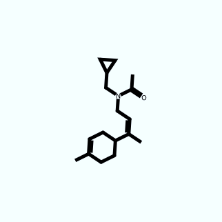 CC(=O)N(C/C=C(/C)C1CC=C(C)CC1)CC1CC1